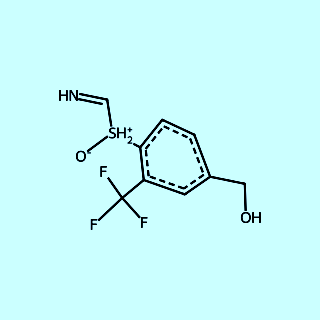 N=C[SH2+]([O-])c1ccc(CO)cc1C(F)(F)F